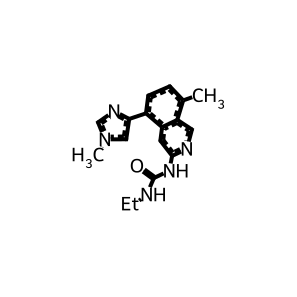 CCNC(=O)Nc1cc2c(-c3cn(C)cn3)ccc(C)c2cn1